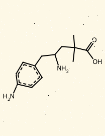 CC(C)(CC(N)Cc1ccc(N)cc1)C(=O)O